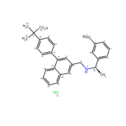 COc1cccc([C@@H](C)NCc2cc(-c3ccc(C(C)(C)C(=O)O)cc3)c3ccccc3c2)c1.Cl